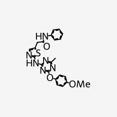 COc1ccc(Oc2nc(C)nc(Nc3ncc(CC(=O)Nc4ccccc4)s3)n2)cc1